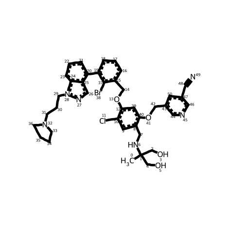 CC(CO)(CO)NCc1cc(Cl)c(OCc2cccc(-c3cccc4c3cnn4CCCN3CCCC3)c2Br)cc1OCc1cncc(C#N)c1